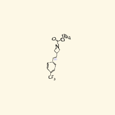 CC(C)(C)OC(=O)N1CC(/C=C/c2ccc(C(F)(F)F)cc2)C1